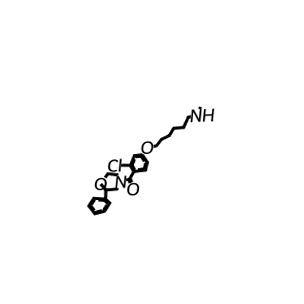 CNCCCCCCOc1ccc(C(=O)N2CCOC(c3ccccc3)C2)c(Cl)c1